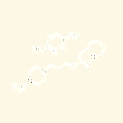 CN1CCN(CCCOc2cc3n(n2)CCCC3)CC1.O=C(O)/C=C\C(=O)O